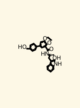 O=C(N[C@@H](CO)Cc1c[nH]c2ccccc12)c1cc(-c2ccc(CO)cc2)cc2c1OCCO2